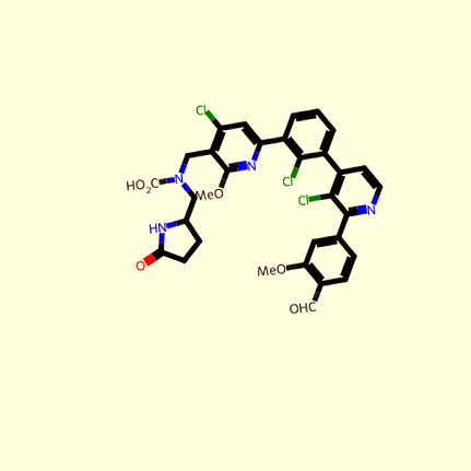 COc1cc(-c2nccc(-c3cccc(-c4cc(Cl)c(CN(CC5CCC(=O)N5)C(=O)O)c(OC)n4)c3Cl)c2Cl)ccc1C=O